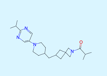 CC(C)C(=O)N1CC2(CC(CC3CCN(c4cnc(C(C)C)nc4)CC3)C2)C1